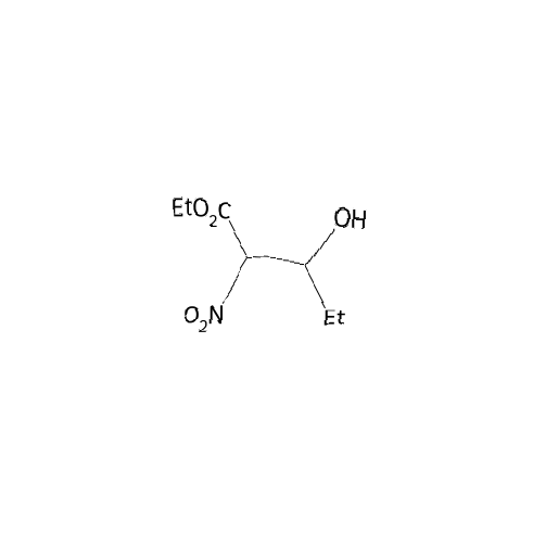 CCOC(=O)C(C(O)CC)[N+](=O)[O-]